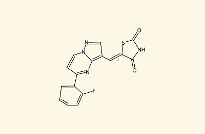 O=C1NC(=O)/C(=C/c2cnn3ccc(-c4ccccc4F)nc23)S1